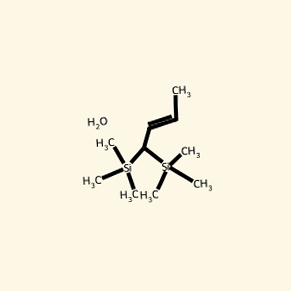 CC=CC([Si](C)(C)C)[Si](C)(C)C.O